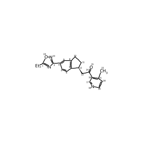 CCc1nc(-c2ccc3c(c2)CC[C@H]3CC(=O)c2cnccc2C)no1